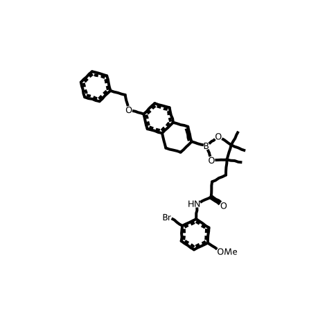 COc1ccc(Br)c(NC(=O)CCC2(C)OB(C3=Cc4ccc(OCc5ccccc5)cc4CC3)OC2(C)C)c1